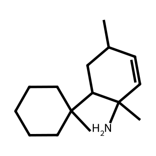 CC1C=CC(C)(N)C(C2(C)CCCCC2)C1